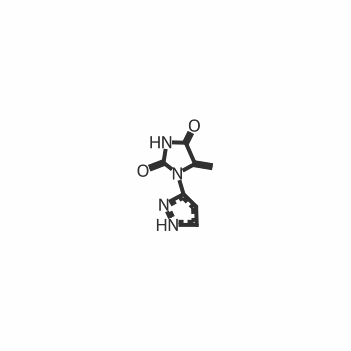 C=C1C(=O)NC(=O)N1c1cc[nH]n1